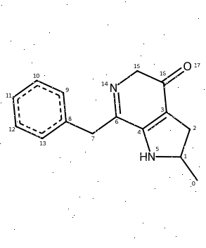 CC1CC2=C(N1)C(Cc1ccccc1)=NCC2=O